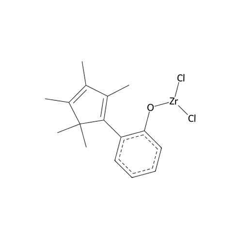 CC1=C(C)C(C)(C)C(c2ccccc2[O][Zr]([Cl])[Cl])=C1C